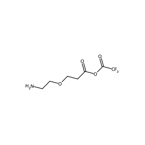 NCCOCCC(=O)OC(=O)C(F)(F)F